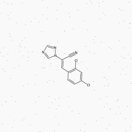 N#CC(=Cc1ccc(Cl)cc1Cl)n1cncn1